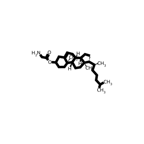 CC(C)CCC[C@@H](C)[C@H]1CC[C@H]2[C@@H]3CC=C4CC(OC(=O)CN)CC[C@]4(C)[C@H]3CC[C@]12C